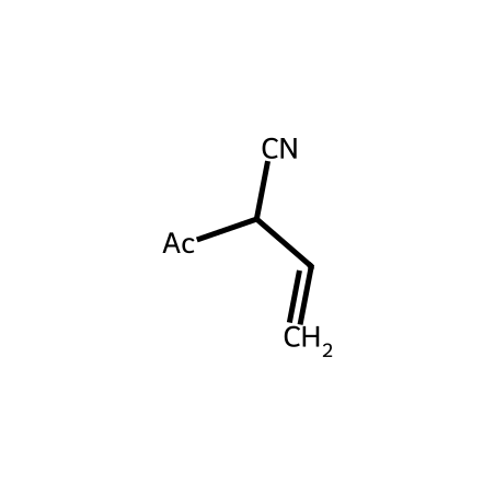 C=CC(C#N)C(C)=O